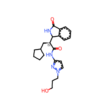 O=C1NC([C@H](CC2CCCC2)C(=O)Nc2ccn(CCCO)n2)c2ccccc21